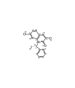 CC[C@@H](c1ccccn1)n1c(=O)c(Cl)nc2ccc(Cl)nc21